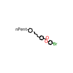 CCCCC[C@H]1CC[C@H](/C=C/CCc2ccc(C(=O)Oc3ccc(Br)cc3)cc2)CC1